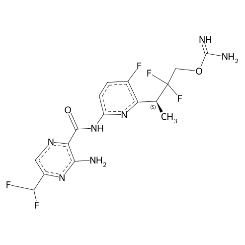 C[C@@H](c1nc(NC(=O)c2ncc(C(F)F)nc2N)ccc1F)C(F)(F)COC(=N)N